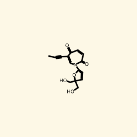 CC#Cc1cn(C2=C=CC(CO)(CO)O2)c(=O)ccc1=O